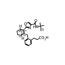 CCC(C)(C)NC(=O)c1coc([C@H]2[C@@H](Cc3ccccc3CCC(=O)O)[C@@H]3CC[C@H]2O3)n1